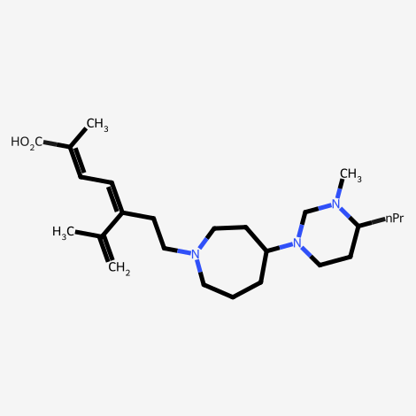 C=C(C)/C(=C\C=C(/C)C(=O)O)CCN1CCCC(N2CCC(CCC)N(C)C2)CC1